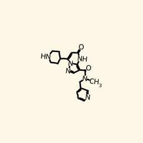 CN(Cc1cccnc1)C(=O)c1cnn2c(C3CCNCC3)cc(=O)[nH]c12